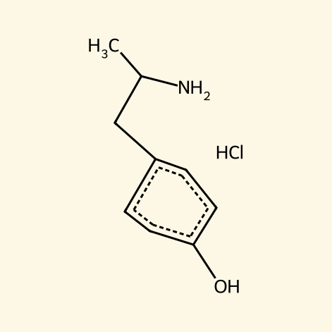 CC(N)Cc1ccc(O)cc1.Cl